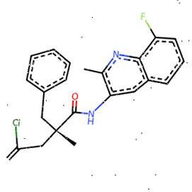 C=C(Cl)C[C@](C)(Cc1ccccc1)C(=O)Nc1cc2cccc(F)c2nc1C